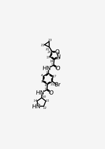 O=C(Nc1ccc(C(=O)NC2CCNC2)c(Br)c1)c1cc(C2CC2)on1